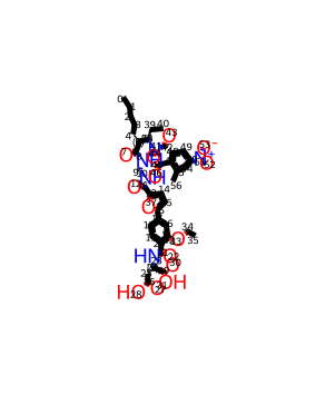 CCCCC[C@@H](C(=O)NCNC(=O)c1ccc(-c2ccc(C(=O)N[C@@H](CC(=O)O)C(=O)O)c(OCC)c2)o1)[C@@H](CC)N(C=O)OC(=O)c1ccc([N+](=O)[O-])cc1C